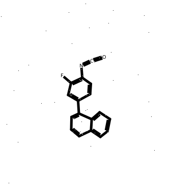 O=C=Nc1ccc(-c2cccc3ccccc23)cc1F